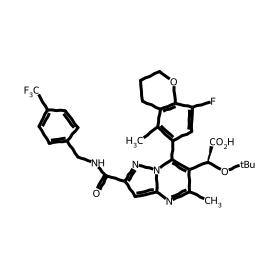 Cc1nc2cc(C(=O)NCc3ccc(C(F)(F)F)cc3)nn2c(-c2cc(F)c3c(c2C)CCCO3)c1[C@H](OC(C)(C)C)C(=O)O